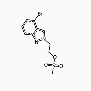 CS(=O)(=O)OCCn1cc2c(Br)cccc2n1